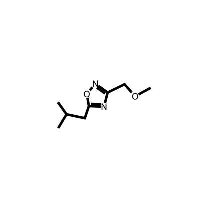 COCc1noc(CC(C)C)n1